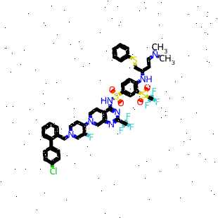 CN(C)CCC(CSc1ccccc1)Nc1ccc(S(=O)(=O)Nc2nc(C(F)(F)F)nc3c2CCN(C2CCN(Cc4ccccc4-c4ccc(Cl)cc4)CC2F)C3)cc1S(=O)(=O)C(F)(F)F